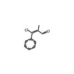 CC(C=O)=C(Cl)c1ccccc1